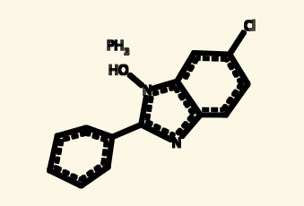 On1c(-c2ccccc2)nc2ccc(Cl)cc21.P